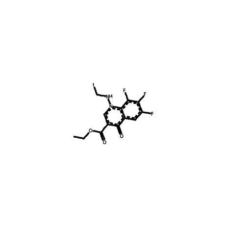 CCOC(=O)c1cn(NCI)c2c(F)c(F)c(F)cc2c1=O